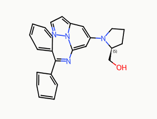 OC[C@@H]1CCCN1c1cc(N=C(c2ccccc2)c2ccccc2)n2nccc2c1